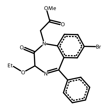 CCOC1N=C(c2ccccc2)c2cc(Br)ccc2N(CC(=O)OC)C1=O